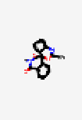 CC(C)C1=Nc2ccccc2C2(O1)C(=O)N(C)C(=O)c1ccccc12